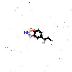 CC[C@@H](C)c1ccc2c(c1)ONO2